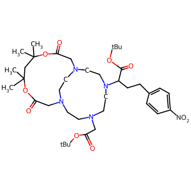 CC(C)(C)OC(=O)CN1CCN2CCN(CCN(C(CCc3ccc([N+](=O)[O-])cc3)C(=O)OC(C)(C)C)CC1)CC(=O)OC(C)(C)CC(C)(C)OC(=O)C2